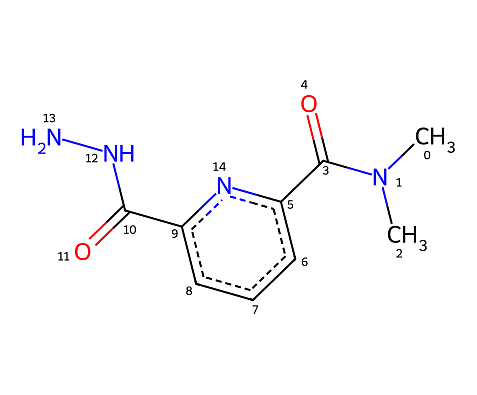 CN(C)C(=O)c1cccc(C(=O)NN)n1